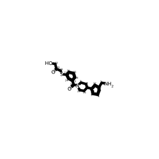 NCc1cccc(C2CCN(C(=O)c3cccc(SCC(=O)CO)c3)CC2)c1